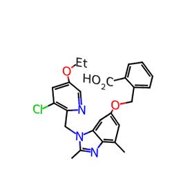 CCOc1cnc(Cn2c(C)nc3c(C)cc(OCc4ccccc4C(=O)O)cc32)c(Cl)c1